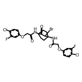 O=C(COc1ccc(Cl)c(F)c1)NC12CCC(NC(=O)COc3ccc(Cl)c(F)c3)(CC1)C(Br)C2=O